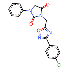 O=C1CN(c2ccccc2)C(=O)N1Cc1nc(-c2ccc(Cl)cc2)no1